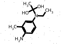 CCN(c1ccc(N)c(C)c1)C(C)(O)O